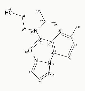 Cc1ccc(-n2nccn2)c(C(=O)N(CCO)C(C)C)c1